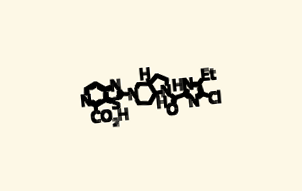 CCc1[nH]c(C(=O)N2CC[C@H]3CN(c4nc5ccnc(C(=O)O)c5s4)CC[C@H]32)nc1Cl